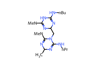 CCCCNC1=NC(CN2C(NC)=NC(C)N=C2NCCC)N=C(NC)N1